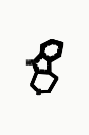 c1ccc2c3c([nH]c2c1)CSCC3